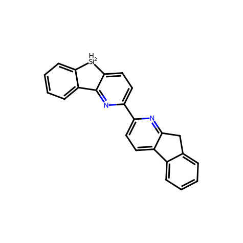 c1ccc2c(c1)Cc1nc(-c3ccc4c(n3)-c3ccccc3[SiH2]4)ccc1-2